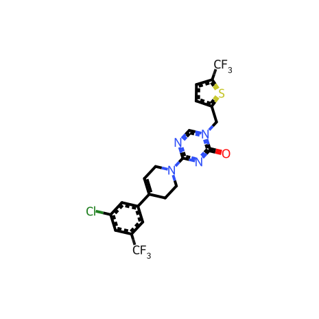 O=c1nc(N2CC=C(c3cc(Cl)cc(C(F)(F)F)c3)CC2)ncn1Cc1ccc(C(F)(F)F)s1